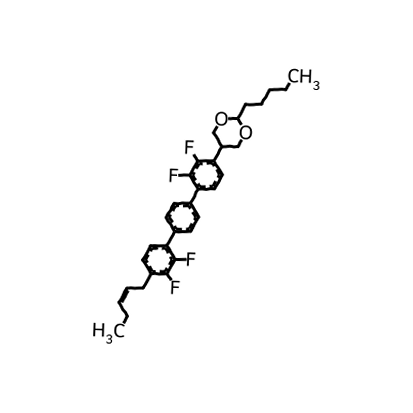 CC/C=C\Cc1ccc(-c2ccc(-c3ccc(C4COC(CCCCC)OC4)c(F)c3F)cc2)c(F)c1F